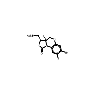 CC(=O)NC[C@@H]1OC(=O)N2c3cc(F)c(Br)cc3OC[C@@H]12